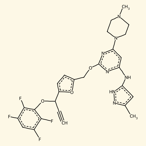 C#CC(Oc1c(F)c(F)cc(F)c1F)c1ccc(COc2nc(Nc3cc(C)n[nH]3)cc(N3CCN(C)CC3)n2)o1